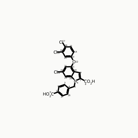 O=C(O)c1ccc(Cn2c(C(=O)O)cc3c(Oc4ccc(Cl)c(Cl)c4)cc(Cl)cc32)cc1